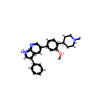 COc1cc(-c2cnc3[nH]cc(-c4cc[c]cc4)c3c2)ccc1C1CCN(C)CC1